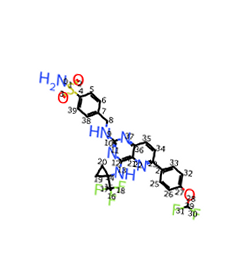 NS(=O)(=O)c1ccc(CNc2nc(NC3(C(F)(F)F)CC3)c3nc(-c4ccc(OC(F)F)cc4)ccc3n2)cc1